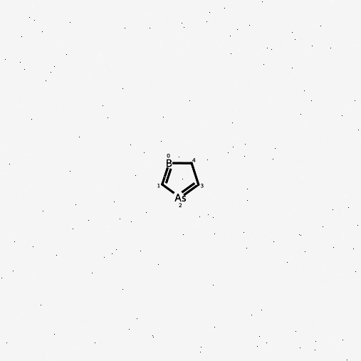 B1=C[As]=CC1